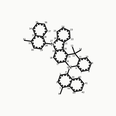 Cc1ccc(N2c3ccccc3C(C)(C)c3c2ccc2c3c3ccccc3n2-c2ccc(C)c3ccccc23)c2ccccc12